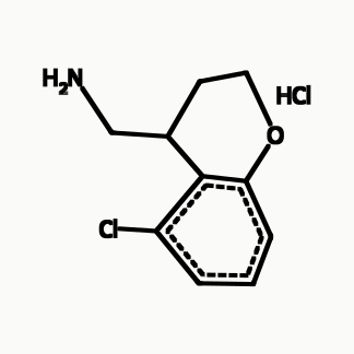 Cl.NCC1CCOc2cccc(Cl)c21